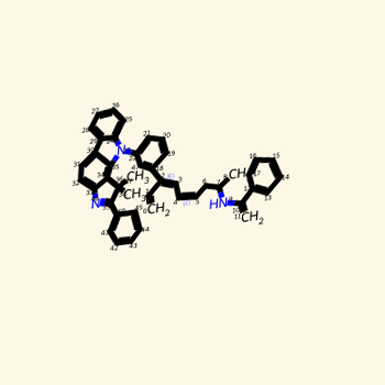 C=C/C(=C\C=C/CC(C)NC(=C)c1ccccc1)c1cccc(-n2c3ccccc3c3ccc4c(c32)C(C)(C)C(c2ccccc2)=N4)c1